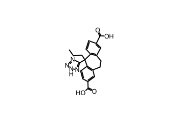 CCCC1(c2nn[nH]n2)c2ccc(C(=O)O)cc2CCc2cc(C(=O)O)ccc21